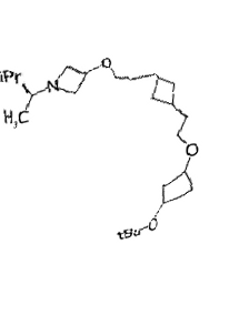 CC(C)[C@H](C)N1CC(OCCC2CC(CCOC3CC(OC(C)(C)C)C3)C2)C1